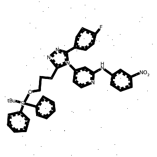 CC(C)(C)[Si](OCCCc1nnc(-c2ccc(F)cc2)n1-c1ccnc(Nc2cccc([N+](=O)[O-])c2)c1)(c1ccccc1)c1ccccc1